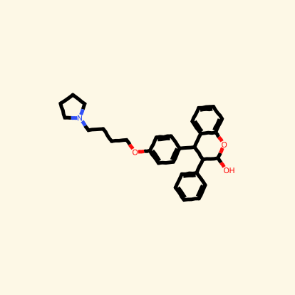 OC1Oc2ccccc2C(c2ccc(OCCCCN3CCCC3)cc2)C1c1ccccc1